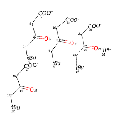 CC(C)(C)CC(=O)CC(=O)[O-].CC(C)(C)CC(=O)CC(=O)[O-].CC(C)(C)CC(=O)CC(=O)[O-].CC(C)(C)CC(=O)CC(=O)[O-].[Ti+4]